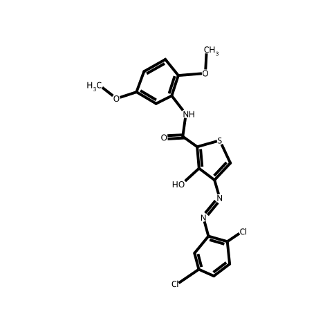 COc1ccc(OC)c(NC(=O)c2scc(N=Nc3cc(Cl)ccc3Cl)c2O)c1